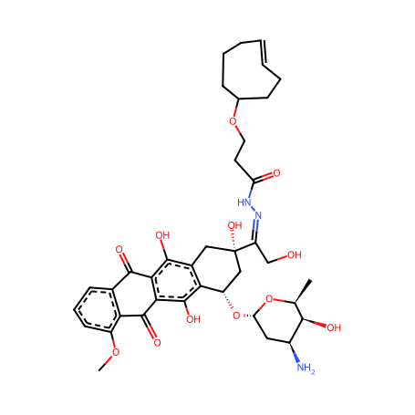 COc1cccc2c1C(=O)c1c(O)c3c(c(O)c1C2=O)C[C@@](O)(/C(CO)=N\NC(=O)CCOC1CC/C=C/CCC1)C[C@@H]3O[C@H]1C[C@H](N)[C@H](O)[C@H](C)O1